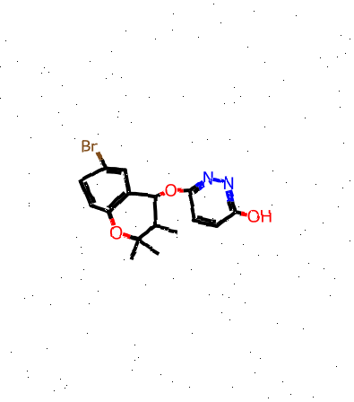 CC1C(Oc2ccc(O)nn2)c2cc(Br)ccc2OC1(C)C